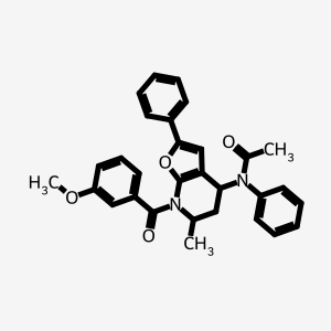 COc1cccc(C(=O)N2c3oc(-c4ccccc4)cc3C(N(C(C)=O)c3ccccc3)CC2C)c1